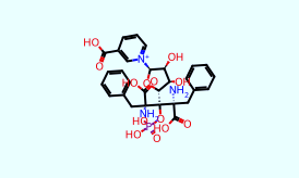 N[C@](Cc1ccccc1)(C(=O)O)C(OP(=O)(O)O)([C@@H]1O[C@@H]([n+]2cccc(C(=O)O)c2)[C@@H](O)[C@H]1O)[C@@](N)(Cc1ccccc1)C(=O)O